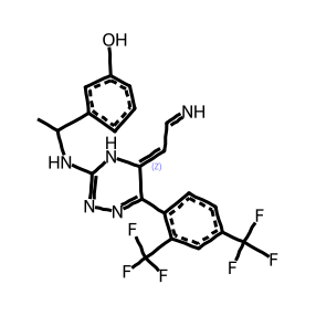 CC(NC1=NN=C(c2ccc(C(F)(F)F)cc2C(F)(F)F)/C(=C/C=N)N1)c1cccc(O)c1